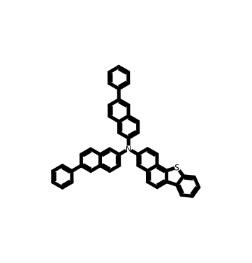 c1ccc(-c2ccc3cc(N(c4ccc5cc(-c6ccccc6)ccc5c4)c4ccc5c(ccc6c7ccccc7sc56)c4)ccc3c2)cc1